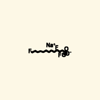 O=S(=O)([O-])CC(F)C(F)CCCCCCCCCF.[Na+]